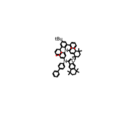 Cc1cc(N(C2=CCC3C(=C2)C(C)(C)CCC3(C)C)c2c(-c3ccccc3)cc(C(C)(C)C)cc2C2C=CC=CC2)cc(N(c2ccc(-c3ccccc3)cc2)c2coc3cc4c(cc23)C(C)(C)CCC4(C)C)c1